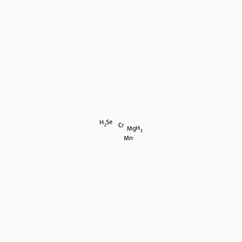 [Cr].[MgH2].[Mn].[SeH2]